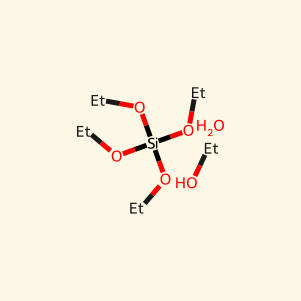 CCO.CCO[Si](OCC)(OCC)OCC.O